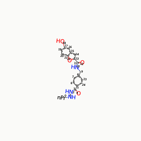 CCCNNC(=O)c1ccc(CNC(=O)c2cc3cc(O)ccc3o2)cc1